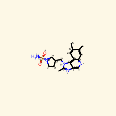 Cc1cc2ncc3nc(C)n(CC4CCN(S(N)(=O)=O)C4)c3c2cc1C